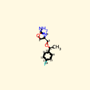 C[C@H](OC[C@H]1COC(N)=N1)c1ccc(F)cc1